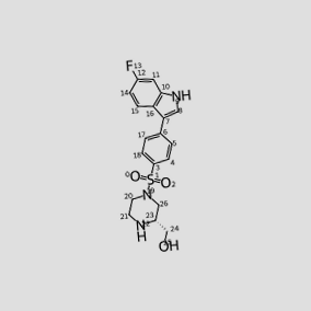 O=S(=O)(c1ccc(-c2c[nH]c3cc(F)ccc23)cc1)N1CCN[C@@H](CO)C1